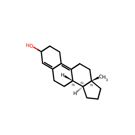 C[C@@]12CCC[C@H]1[C@@H]1CCC3=CC(O)CCC3=C1CC2